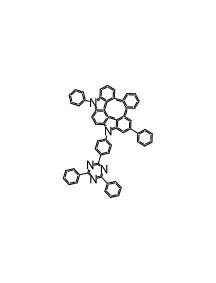 c1ccc(-c2cc3c4ccccc4c4cccc5c4c4c6c3c(c2)n(-c2ccc(-c3nc(-c7ccccc7)nc(-c7ccccc7)n3)cc2)c6ccc4n5-c2ccccc2)cc1